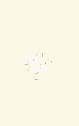 O=C(Nc1noc2ccccc12)c1cccc(F)c1F.O=C([15NH]c1noc2ccccc12)c1ccc(Cl)c(Cl)c1